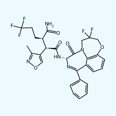 Cc1nocc1[C@H](C(=O)N[C@H]1N=C(c2ccccc2)c2cccc3c2N(CC(F)(F)CO3)C1=O)[C@@H](CCC(F)(F)F)C(N)=O